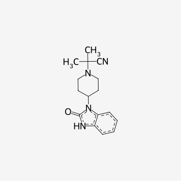 CC(C)(C#N)N1CCC(n2c(=O)[nH]c3ccccc32)CC1